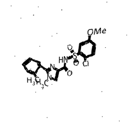 COc1ccc(Cl)c(S(=O)(=O)NC(=O)c2cn(C)c(-c3ccccc3C)n2)c1